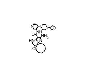 Nc1nn2c(c1C(=O)Nc1cnccc1N1CCN(C3COC3)CC1)NCC(Cl)C21CCCCCCCCC1